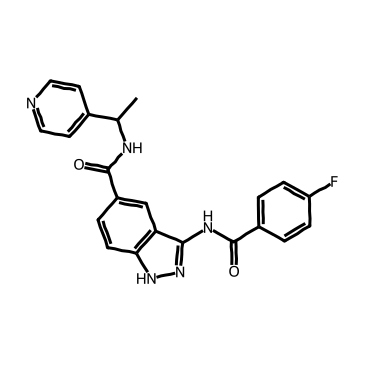 CC(NC(=O)c1ccc2[nH]nc(NC(=O)c3ccc(F)cc3)c2c1)c1ccncc1